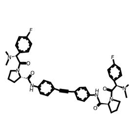 CN(C)[C@@H](C(=O)N1CCC[C@H]1C(=O)Nc1ccc(C#Cc2ccc(NC(=O)[C@@H]3CCCN3C(=O)[C@@H](c3ccc(F)cc3)N(C)C)cc2)cc1)c1ccc(F)cc1